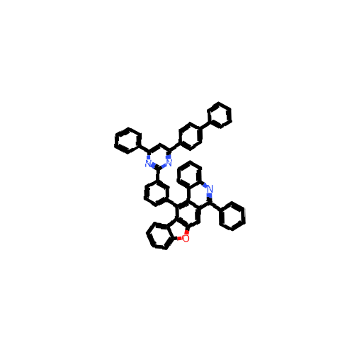 c1ccc(-c2ccc(-c3cc(-c4ccccc4)nc(-c4cccc(-c5c6c(cc7c(-c8ccccc8)nc8ccccc8c57)oc5ccccc56)c4)n3)cc2)cc1